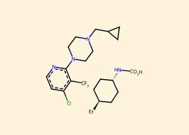 CC[C@H]1CC[C@H](NC(=O)O)CC1.FC(F)(F)c1c(Cl)ccnc1N1CCN(CC2CC2)CC1